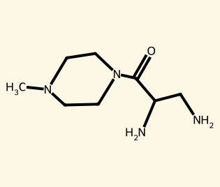 CN1CCN(C(=O)C(N)CN)CC1